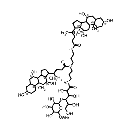 COC1OC(OC(C(O)CO)C(O)C(O)C(=O)NCCCN(CCCNC(=O)CCC(C)C2CCC3C4C(C[C@H](O)[C@]23C)[C@@]2(C)CC[C@@H](O)CC2C[C@H]4O)C(=O)CCC(C)C2CCC3C4C(C[C@H](O)[C@]23C)[C@@]2(C)CC[C@@H](O)CC2C[C@H]4O)C(O)C(O)C1O